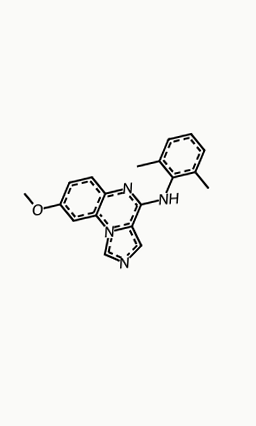 COc1ccc2nc(Nc3c(C)cccc3C)c3cncn3c2c1